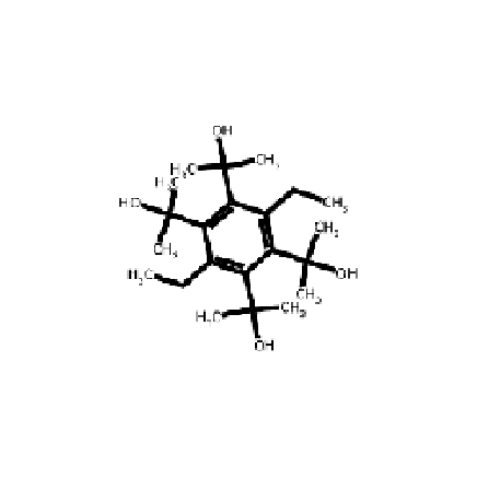 CCc1c(C(C)(C)O)c(C(C)(C)O)c(CC)c(C(C)(C)O)c1C(C)(C)O